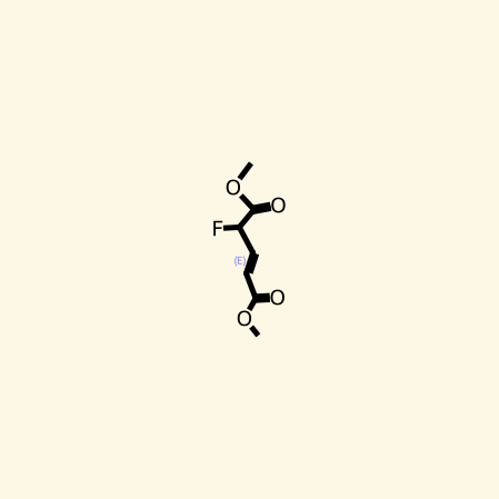 COC(=O)/C=C/C(F)C(=O)OC